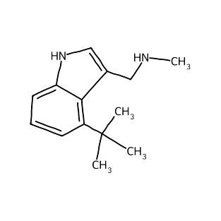 CNCc1c[nH]c2cccc(C(C)(C)C)c12